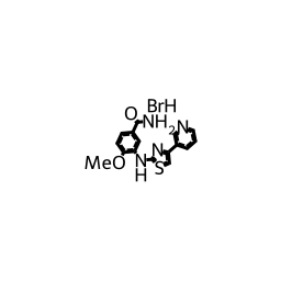 Br.COc1ccc(C(N)=O)cc1Nc1nc(-c2cccnc2)cs1